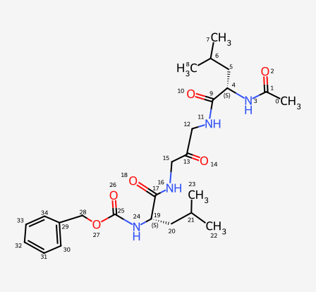 CC(=O)N[C@@H](CC(C)C)C(=O)NCC(=O)CNC(=O)[C@H](CC(C)C)NC(=O)OCc1ccccc1